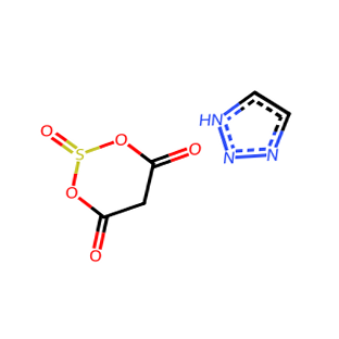 O=C1CC(=O)OS(=O)O1.c1c[nH]nn1